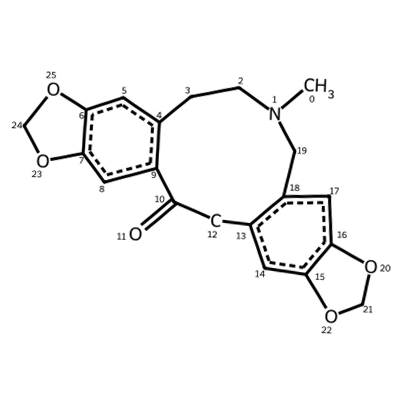 CN1CCc2cc3c(cc2C(=O)Cc2cc4c(cc2C1)OCO4)OCO3